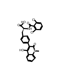 Cn1c(=O)c(-c2ccc(C[C@H](NC(=O)c3c(Cl)cccc3Cl)C(=O)O)cc2)c(O)c2ccccc21